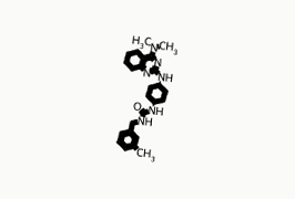 Cc1cccc(CNC(=O)N[C@H]2CC[C@@H](Nc3nc4c(c(N(C)C)n3)CCCC4)CC2)c1